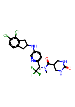 CN(C(=O)C1CNC(=O)NC1)[C@@H](c1ccc(NC2Cc3ccc(Cl)c(Cl)c3C2)cn1)C(F)(F)F